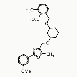 COc1cccc(-c2nc(COC3CCCC(OCc4cccc(C)c4C(=O)O)C3)c(C)o2)c1